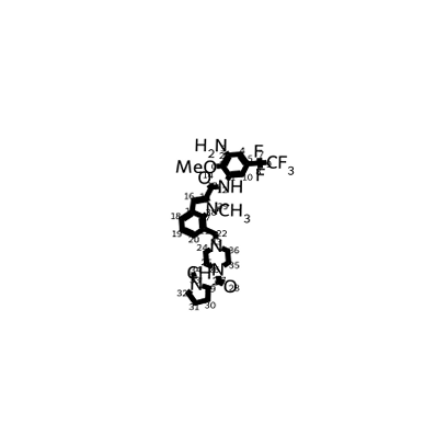 COc1c(N)cc(C(F)(F)C(F)(F)F)cc1NC(=O)c1cc2cccc(CN3CCN(C(=O)[C@@H]4CCCN4C)CC3)c2n1C